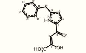 O=C(O)/C(O)=C/C(=O)c1ccc(Cc2ccccn2)[nH]1